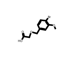 COc1cc(COCC(=O)O)ccc1Br